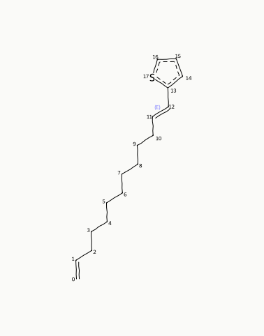 C=CCCCCCCCCC/C=C/c1cccs1